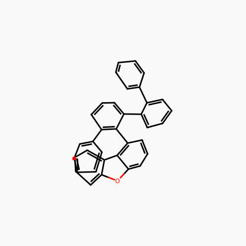 c1ccc(-c2ccccc2-c2cccc(-c3ccccc3)c2-c2cccc3oc4ccccc4c23)cc1